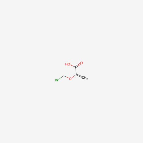 C=C(OCBr)C(=O)O